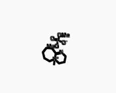 COP(=O)([O-])OC.C[N+]12CCCCCC1=NCCC2